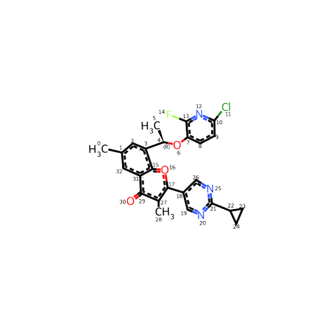 Cc1cc([C@@H](C)Oc2ccc(Cl)nc2F)c2oc(-c3cnc(C4CC4)nc3)c(C)c(=O)c2c1